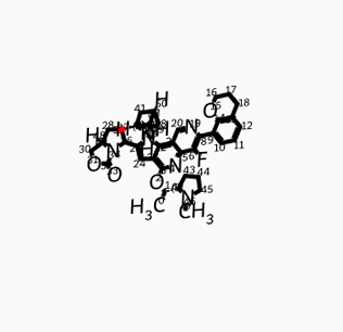 CC(Oc1nc2c(F)c(-c3cccc4c3OCCC4)ncc2c2c1cc(C1CC[C@H]3COC(=O)N13)n2[C@H]1[C@H]2CN[C@@H]1C2)[C@@H]1CCCN1C